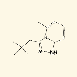 CC1=CC=CC2NN=C(CC(C)(C)C)N12